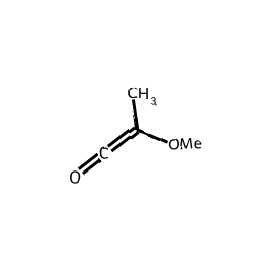 COC(C)=C=O